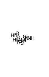 CC(=O)Nc1cccc(Nc2ncc3c(n2)-c2cc(C(=O)N4CCNCC4)sc2CS3)c1